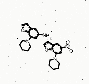 Nc1cc(N2CCCCC2)c2occc2c1.O=[N+]([O-])c1cc(N2CCCCC2)c2occc2c1